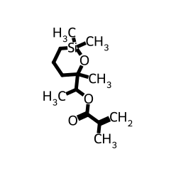 C=C(C)C(=O)OC(C)C1(C)CCC[Si](C)(C)O1